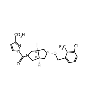 O=C(O)c1ccn(C(=O)N2C[C@H]3C[C@H](OCc4cccc(Cl)c4C(F)(F)F)C[C@H]3C2)n1